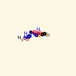 CNC(=O)N1CCN(C[C@@H]2CCCN2C(=O)CN2CCC[C@H](NS(=O)(=O)c3ccc4cc(Br)ccc4c3)C2=O)CC1